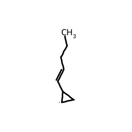 CCCC=CC1[CH]C1